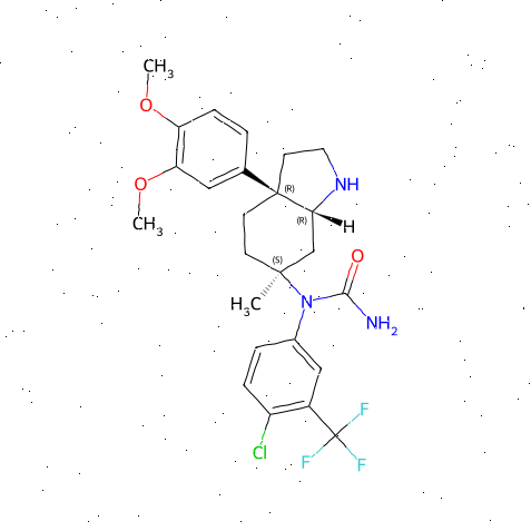 COc1ccc([C@@]23CCN[C@@H]2C[C@@](C)(N(C(N)=O)c2ccc(Cl)c(C(F)(F)F)c2)CC3)cc1OC